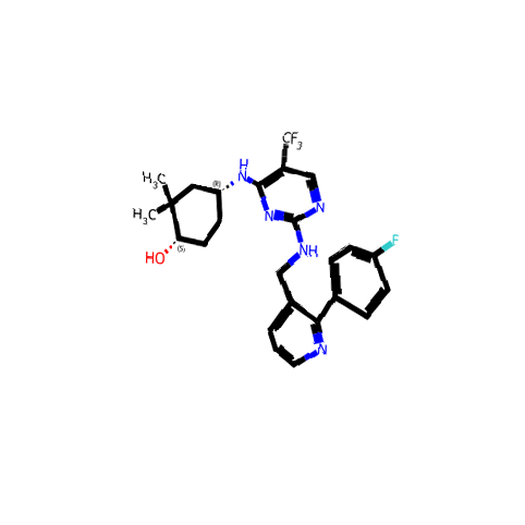 CC1(C)C[C@H](Nc2nc(NCc3cccnc3-c3ccc(F)cc3)ncc2C(F)(F)F)CC[C@@H]1O